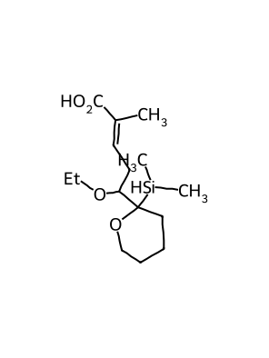 CCOC(CC=C(C)C(=O)O)C1([SiH](C)C)CCCCO1